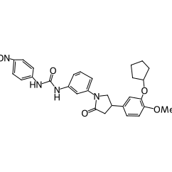 COc1ccc(C2CC(=O)N(c3cccc(NC(=O)Nc4ccc(N=O)cc4)c3)C2)cc1OC1CCCC1